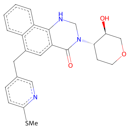 CSc1ccc(Cc2cc3c(c4ccccc24)NCN([C@H]2CCOC[C@@H]2O)C3=O)cn1